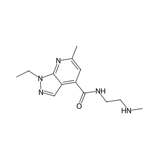 CCn1ncc2c(C(=O)NCCNC)cc(C)nc21